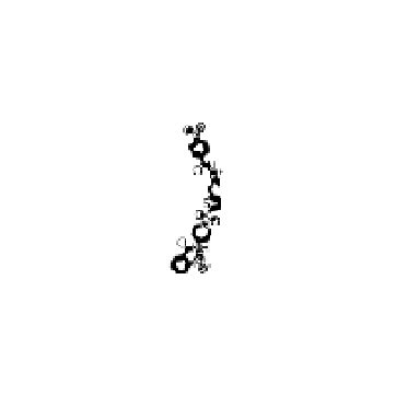 O=C(N=[N+]=NCc1ccc(S(=O)(=O)N2CCC(NC(=O)c3ccccc3[N+](=O)[O-])CC2)s1)c1ccc([N+](=O)[O-])cc1